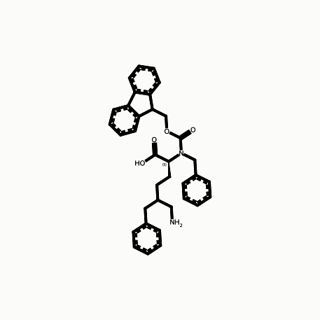 NCC(CC[C@@H](C(=O)O)N(Cc1ccccc1)C(=O)OCC1c2ccccc2-c2ccccc21)Cc1ccccc1